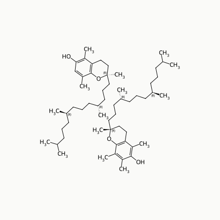 Cc1c(C)c2c(c(C)c1O)CC[C@@](C)(CCC[C@H](C)CCC[C@H](C)CCCC(C)C)O2.Cc1cc(O)c(C)c2c1O[C@](C)(CCC[C@H](C)CCC[C@H](C)CCCC(C)C)CC2